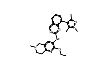 CCOc1nc2c(cc1Nc1ncc3cccc(-c4c(C)nn(C)c4C)c3n1)CN(C)CC2